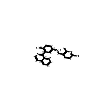 Cc1nc(Cl)ccc1CNc1ccc(Cl)c(-c2nccc3ccccc23)c1